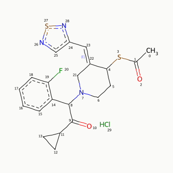 CC(=O)SC1CCN(C(C(=O)C2CC2)c2ccccc2F)C/C1=C\c1cnsn1.Cl